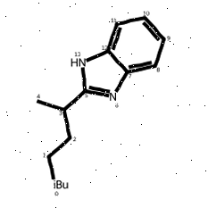 CCC(C)CCC(C)c1nc2ccccc2[nH]1